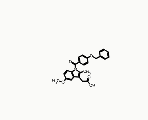 COc1ccc2c(c1)c(CC(=O)O)c(C)n2C(=O)c1ccc(OCc2ccccc2)cc1